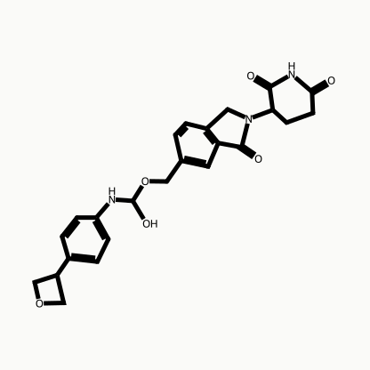 O=C1CCC(N2Cc3ccc(COC(O)Nc4ccc(C5COC5)cc4)cc3C2=O)C(=O)N1